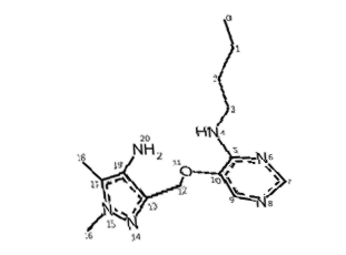 CCCCNc1ncncc1OCc1nn(C)c(C)c1N